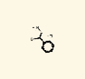 Cl.NOC(Br)c1ccccc1